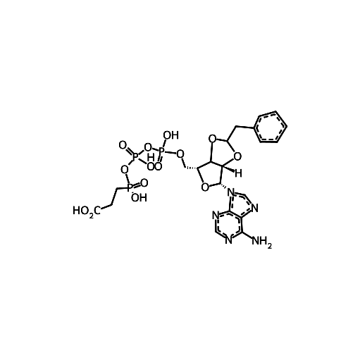 Nc1ncnc2c1ncn2[C@@H]1O[C@H](COP(=O)(O)OP(=O)(O)OP(=O)(O)CCC(=O)O)C2OC(Cc3ccccc3)O[C@@H]21